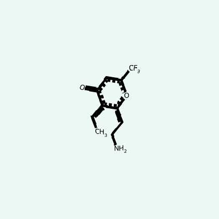 C/C=c1/c(=O)cc(C(F)(F)F)o/c1=C/CN